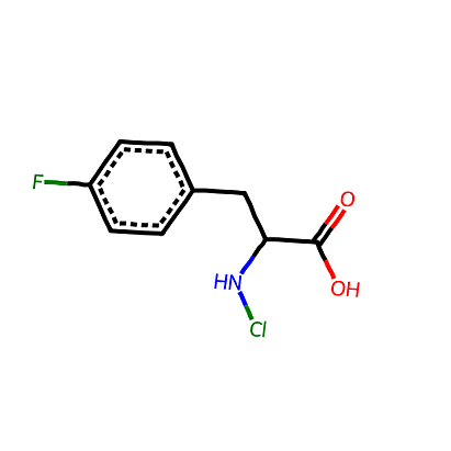 O=C(O)C(Cc1ccc(F)cc1)NCl